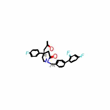 CC(=O)C[C@]1(c2ccc(F)cc2)CCN([C@@H](C)c2ccc(-c3ccc(F)cc3F)cc2)C(=O)C1